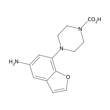 Nc1cc(N2CCN(C(=O)O)CC2)c2occc2c1